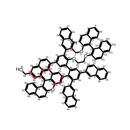 OCCOc1ccc2ccccc2c1-c1c(OCCOc2c(-c3ccc4ccccc4c3)cc(-c3ccc4ccccc4c3)cc2-c2cc(-c3ccc4ccccc4c3)cc(-c3ccc4ccccc4c3)c2OCCOc2ccc3ccccc3c2-c2c(OCCO)ccc3ccccc23)ccc2ccccc12